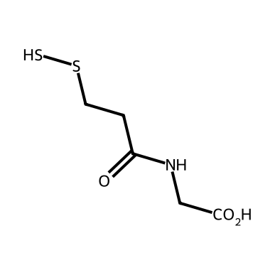 O=C(O)CNC(=O)CCSS